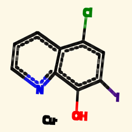 Oc1c(I)cc(Cl)c2cccnc12.[Cu]